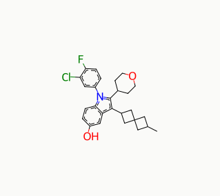 CC1CC2(C1)CC(c1c(C3CCOCC3)n(-c3ccc(F)c(Cl)c3)c3ccc(O)cc13)C2